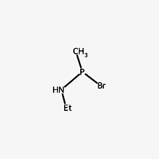 CCNP(C)Br